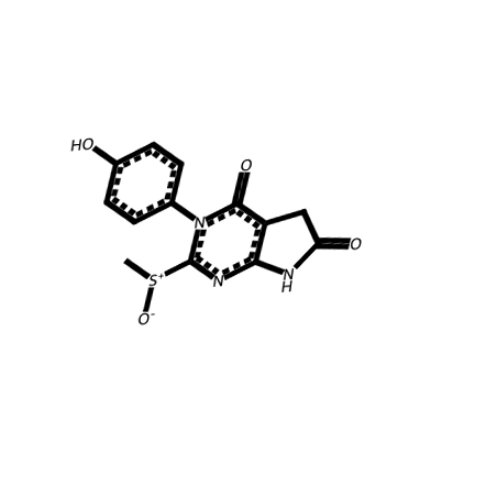 C[S+]([O-])c1nc2c(c(=O)n1-c1ccc(O)cc1)CC(=O)N2